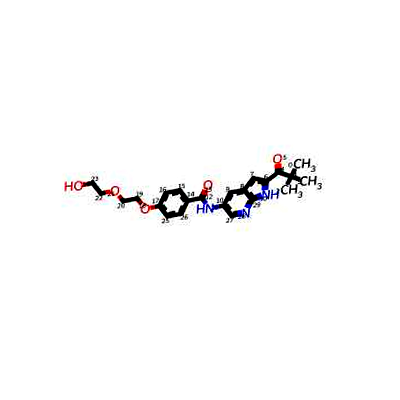 CC(C)(C)C(=O)c1cc2cc(NC(=O)c3ccc(OCCOCCO)cc3)cnc2[nH]1